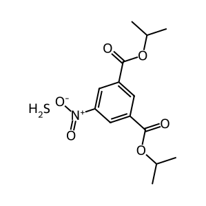 CC(C)OC(=O)c1cc(C(=O)OC(C)C)cc([N+](=O)[O-])c1.S